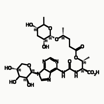 CC1O[C@H](O[C@H](C)CCC(=O)O[C@H](C)[C@H](NC(=O)Nc2ncnc3c2ncn3[C@@H]2OC[C@@H](O)C(O)[C@@H]2O)C(=O)O)[C@H](O)C[C@@H]1O